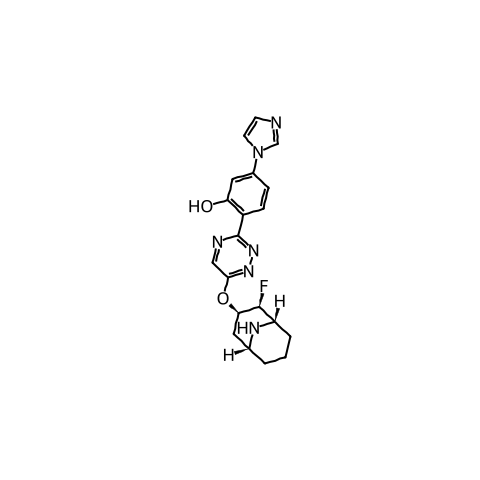 Oc1cc(-n2ccnc2)ccc1-c1ncc(O[C@@H]2C[C@H]3CCC[C@H](N3)[C@@H]2F)nn1